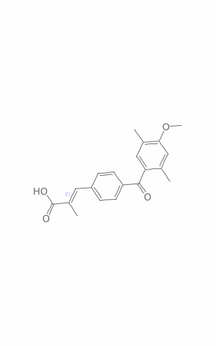 COc1cc(C)c(C(=O)c2ccc(/C=C(\C)C(=O)O)cc2)cc1C